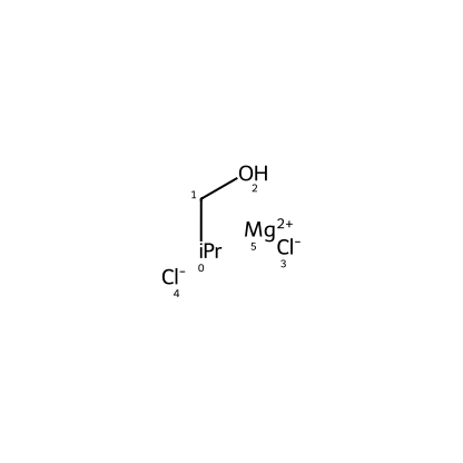 CC(C)CO.[Cl-].[Cl-].[Mg+2]